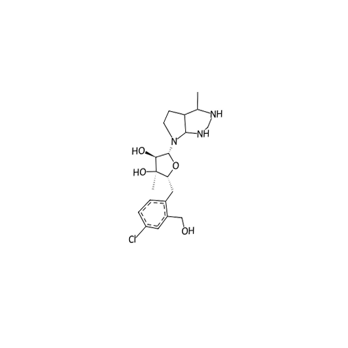 CC1NCNC2C1CCN2[C@@H]1O[C@H](Cc2ccc(Cl)cc2CO)[C@@](C)(O)[C@H]1O